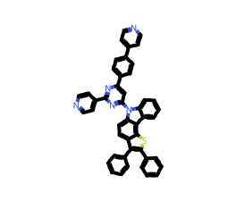 c1ccc(-c2sc3c(ccc4c3c3ccccc3n4-c3cc(-c4ccc(-c5ccncc5)cc4)nc(-c4ccncc4)n3)c2-c2ccccc2)cc1